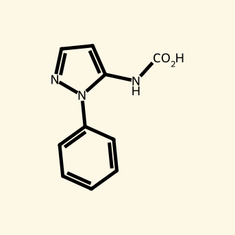 O=C(O)Nc1ccnn1-c1ccccc1